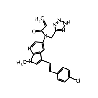 C=CC(=O)N(Cc1nn[nH]n1)c1cnc2c(c1)c(C=Cc1ccc(Cl)cc1)cn2C